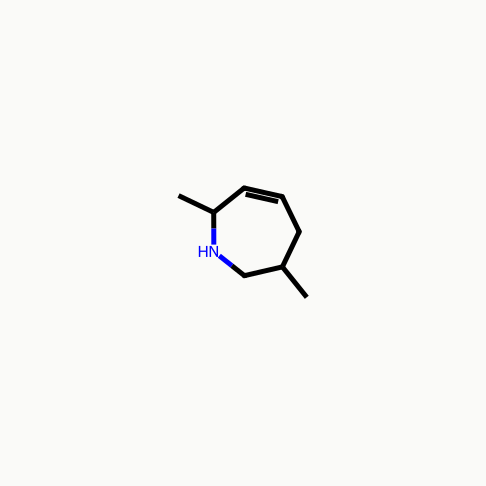 CC1CC=CC(C)NC1